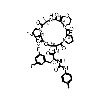 Cc1ccc(NC(=O)N[C@@H](Cc2cc(F)cc(F)c2)C(=O)N[C@@H]2C(=O)N3CCC[C@H]3C(=O)N3CCOC[C@H]3C(=O)N[C@@H](C)C(=O)N3C[C@@H](C)C[C@H]3C(=O)O[C@H]2C)cc1